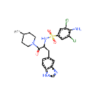 CCCC1CCN(C(=O)C(Cc2ccc3[nH]cnc3c2)NS(=O)(=O)c2cc(Cl)c(N)c(Cl)c2)CC1